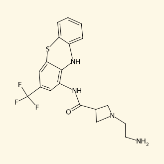 NCCN1CC(C(=O)Nc2cc(C(F)(F)F)cc3c2Nc2ccccc2S3)C1